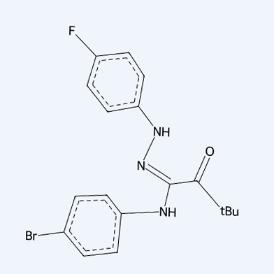 CC(C)(C)C(=O)/C(=N\Nc1ccc(F)cc1)Nc1ccc(Br)cc1